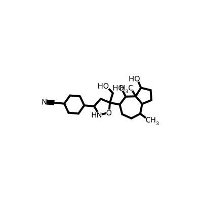 CC1CCC(C2(CO)CC(C3CCC(C#N)CC3)NO2)C(O)C2(C)C(O)CCC12